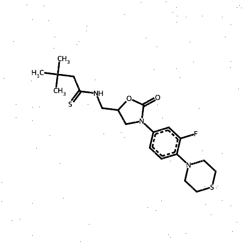 CC(C)(C)CC(=S)NCC1CN(c2ccc(N3CCSCC3)c(F)c2)C(=O)O1